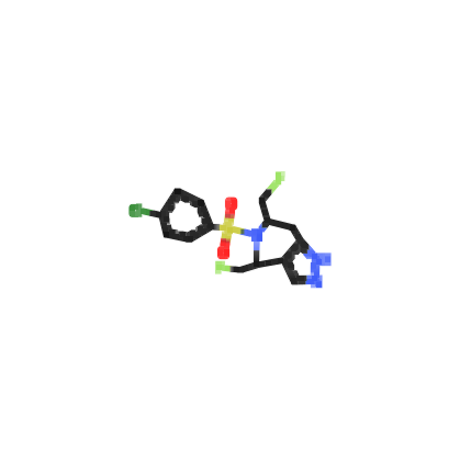 O=S(=O)(c1ccc(Cl)cc1)N1C(CF)Cc2[nH]ncc2C1CF